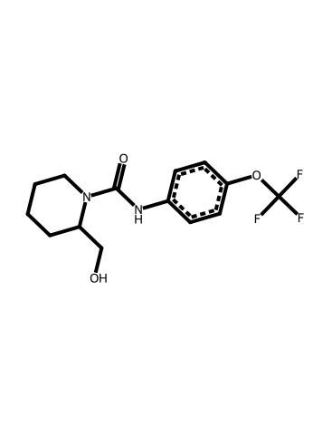 O=C(Nc1ccc(OC(F)(F)F)cc1)N1CCCCC1CO